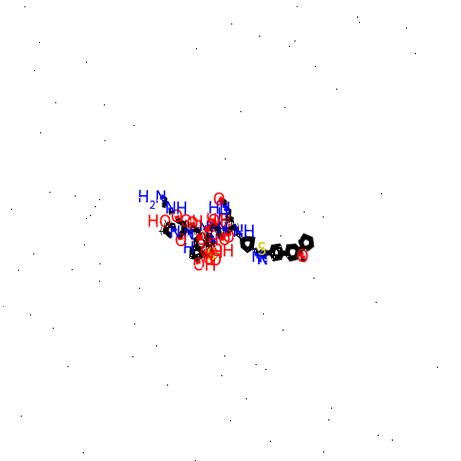 COC1(C2CCCCC2)CCC(c2ccc(-c3nnc([C@H]4CC[C@H](CN[C@@H](C[C@@H](O)CNC=O)C(=O)N[C@H](C(=O)N5C[C@H](O)C[C@H]5C(=O)N[C@H](C(=O)N[C@H](C(=O)N5C[C@@H](O)[C@@H](C)C5)[C@H](O)COCNCCN)[C@H](O)Cc5ccc(O)c(OS(=O)(=O)O)c5)[C@@H](C)O)CC4)s3)cc2)CC1